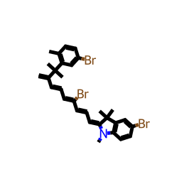 C=C(/C=C/C=C(Br)/C=C/C=C1/N(C)c2ccc(Br)cc2C1(C)C)C(C)(C)c1cc(Br)ccc1C